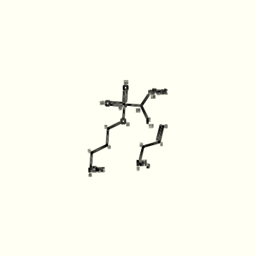 C=CCN.CCCCCCCCCCCCCOS(=O)(=O)C(F)CCCCC